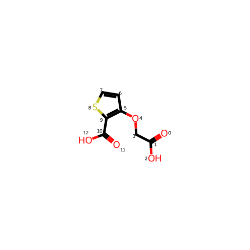 O=C(O)COc1ccsc1C(=O)O